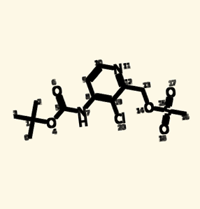 CC(C)(C)OC(=O)Nc1ccnc(COS(C)(=O)=O)c1Cl